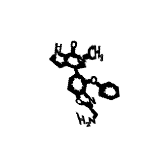 Cn1cc(-c2ccc3oc(CN)nc3c2Oc2ccccc2)c2cc[nH]c2c1=O